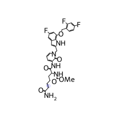 COC(=O)NC(CC/C=C/C(N)=O)C(=O)Nc1cccn(Cc2cc3cc(F)cc(OCc4ccc(F)cc4F)c3[nH]2)c1=O